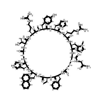 CC[C@@H]1NC(=O)[C@H](Cc2ccccc2)NC(=O)CSC[C@@H](C(=O)NCC(N)=O)NC(=O)[C@H](Cc2cncn2C)NC(=O)[C@H](CCCNC(=N)N)NC(=O)[C@H](Cc2c[nH]cn2)NC(=O)[C@H](Cc2ccc(O)cc2)N(C)C(=O)[C@H](CCCNC(=N)N)NC(=O)[C@H]([C@H](C)O)NC(=O)CNC(=O)[C@H](Cc2c[nH]cn2)NC(=O)[C@H](Cc2cccc3ccccc23)NC1=O